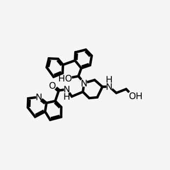 O=C(NCC1CCC(NCCO)CN1C(O)c1ccccc1-c1ccccc1)c1cccc2cccnc12